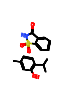 Cc1ccc(C(C)C)c(O)c1.O=C1NS(=O)(=O)c2ccccc21